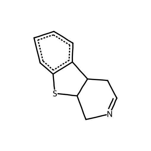 C1=NCC2Sc3ccccc3C2C1